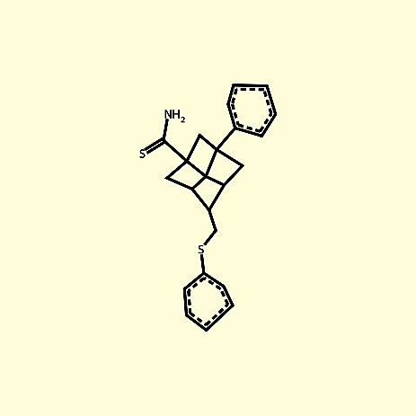 NC(=S)C12CC3C(CSc4ccccc4)C4CC(c5ccccc5)(C1)C342